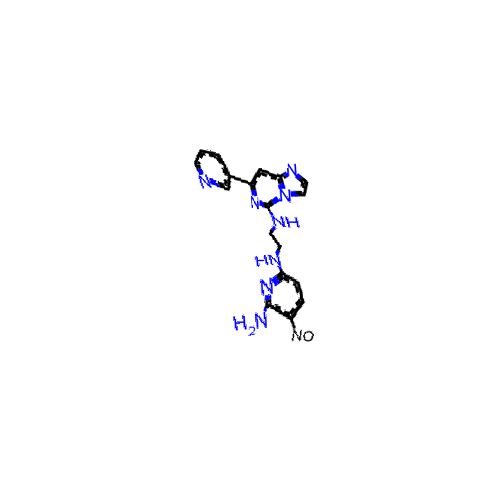 Nc1nc(NCCNc2nc(-c3cccnc3)cc3nccn23)ccc1N=O